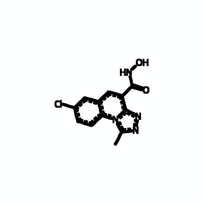 Cc1nnc2c(C(=O)NO)cc3cc(Cl)ccc3n12